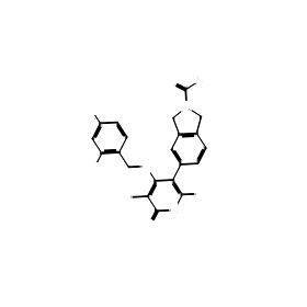 Cc1[nH]c(=O)c(Cl)c(OCc2ccc(F)cc2F)c1-c1ccc2c(c1)CN(C(N)=O)C2